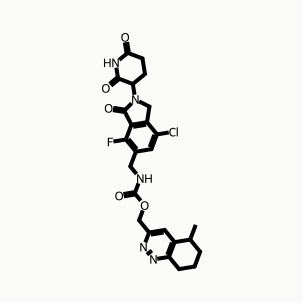 CC1CCCc2nnc(COC(=O)NCc3cc(Cl)c4c(c3F)C(=O)N(C3CCC(=O)NC3=O)C4)cc21